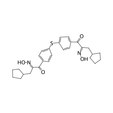 O=C(C(CC1CCCC1)=NO)c1ccc(Sc2ccc(C(=O)C(CC3CCCC3)=NO)cc2)cc1